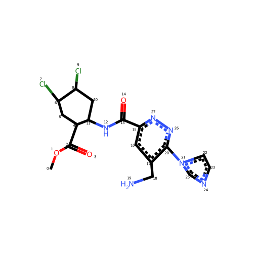 COC(=O)C1CC(Cl)C(Cl)CC1NC(=O)c1cc(CN)c(-n2ccnc2)nn1